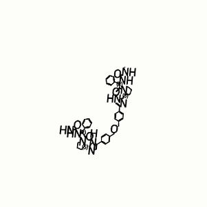 CNC(=O)N[C@@H](C(=O)N1CCC[C@H]1c1nc(-c2ccc(COCc3ccc(-c4cnc([C@@H]5CCCN5C(=O)[C@H](NC(=O)NC)c5ccccc5)[nH]4)cc3)cc2)c[nH]1)c1ccccc1